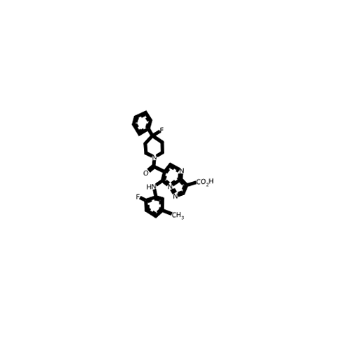 Cc1ccc(F)c(Nc2c(C(=O)N3CCC(F)(c4ccccc4)CC3)cnc3c(C(=O)O)cnn23)c1